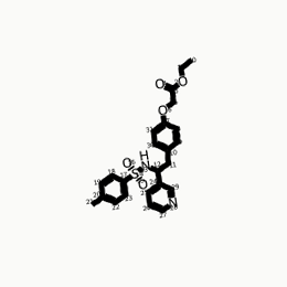 CCOC(=O)COc1ccc(CC(NS(=O)(=O)c2ccc(C)cc2)c2cccnc2)cc1